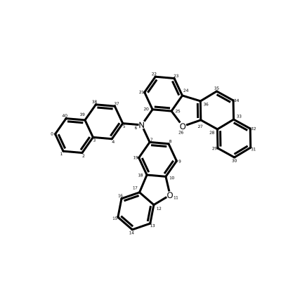 c1ccc2cc(N(c3ccc4oc5ccccc5c4c3)c3cccc4c3oc3c5ccccc5ccc43)ccc2c1